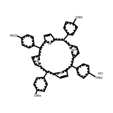 COc1ccc(-c2c3nc(c(-c4ccc(OC)cc4)c4ccc([nH]4)c(-c4ccc(OC)cc4)c4nc(c(-c5ccc(OC)cc5)c5ccc2[nH]5)C=C4)C=C3)cc1.Cl